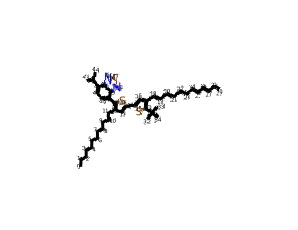 CCCCCCCCCCCCc1cc(-c2cc(CCCCCCCCCCCC)c(C(C)(C)C)s2)sc1-c1ccc(C(C)C)c2nsnc12